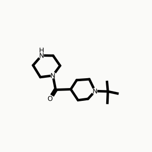 CC(C)(C)N1CCC(C(=O)N2CCNCC2)CC1